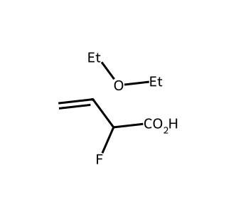 C=CC(F)C(=O)O.CCOCC